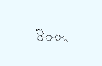 FC(F)(F)Oc1ccc(-c2ccc(-c3cccc4c3OSNC4)cc2)cc1